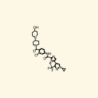 Cn1c(-c2cn(C3CC3)nc2C(F)(F)F)cnc1C(=O)Nc1ccc(C(=O)N2CCC(N3CCC(O)CC3)CC2)c(Cl)c1